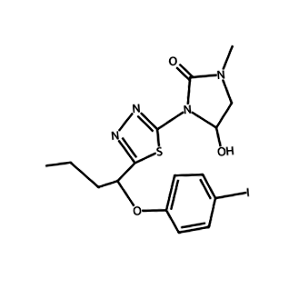 CCCC(Oc1ccc(I)cc1)c1nnc(N2C(=O)N(C)CC2O)s1